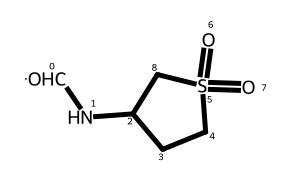 O=[C]NC1CCS(=O)(=O)C1